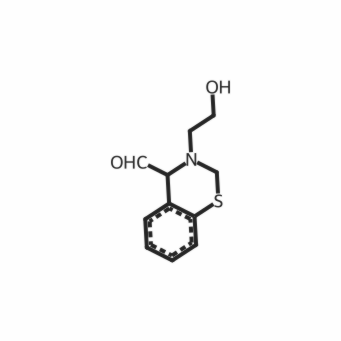 O=CC1c2ccccc2SCN1CCO